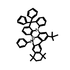 CC(C)(C)c1cc2c3c(c1)N1c4ccccc4C(c4ccccc4)(c4ccccc4)c4cccc(c41)B3N(c1ccccc1)c1cc3c(cc1-2)C(C)(C)CCC3(C)C